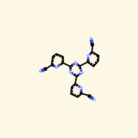 N#Cc1cccc(-c2nc(-c3cccc(C#N)n3)nc(-c3cccc(C#N)n3)n2)n1